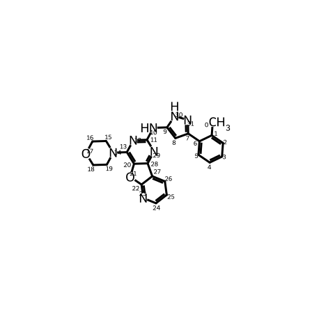 Cc1ccccc1-c1cc(Nc2nc(N3CCOCC3)c3oc4ncccc4c3n2)[nH]n1